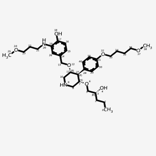 CCC[C@@H](O)CO[C@@H]1CNC[C@H](OCc2ccc(O)c(NCCCOC)c2)[C@H]1c1ccc(OCCCCOC)cc1